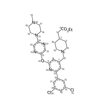 CCOC(=O)CC1CCN(Cc2cc(Oc3cnc(N4CCN(C)CC4)cn3)nc(-c3cc(Cl)cc(Cl)c3)c2)CC1